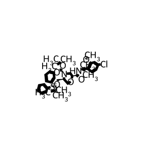 COc1cc(Cl)ccc1C(C)(C)NC(=O)[C@@H]1CN(C(=O)OC(C)(C)C)[C@H](CO[Si](c2ccccc2)(c2ccccc2)C(C)(C)C)CO1